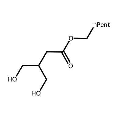 CCCCCCOC(=O)CC(CO)CO